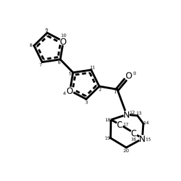 O=C(c1coc(-c2ccco2)c1)N1CCN2CCC1CC2